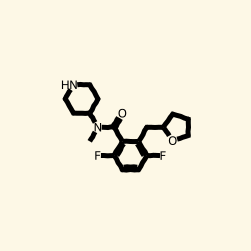 CN(C(=O)c1c(F)ccc(F)c1CC1CCCO1)C1CCNCC1